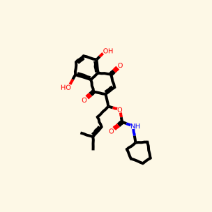 CC(C)=CCC(OC(=O)NC1CCCCC1)C1=CC(=O)c2c(O)ccc(O)c2C1=O